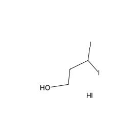 I.OCCC(I)I